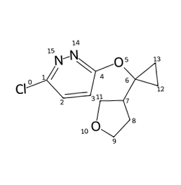 Clc1ccc(OC2(C3CCOC3)CC2)nn1